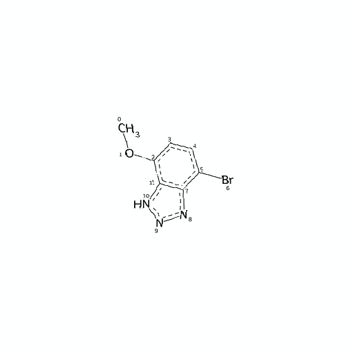 COc1ccc(Br)c2nn[nH]c12